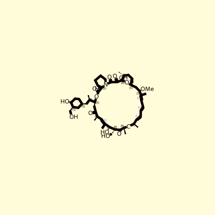 CO[C@H]1C[C@@H]2CC[C@@H](C)[C@@](O)(O2)C(=O)C(=O)N2CCCC[C@H]2C(=O)O[C@H]([C@H](C)C[C@@H]2CC[C@@H](O)[C@H](CO)C2)CC(=O)[C@H](C)/C=C(\C)[C@@H](O)[C@@H](CO)C(=O)[C@H](C)C[C@H](C)/C=C/C=C/C=C/1C